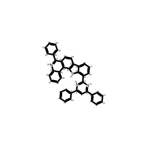 c1ccc(-c2cc(-c3ccccc3)nc(-c3cccc4c3sc3c4ccc4c(-c5ccccc5)nc5ccccc5c43)n2)cc1